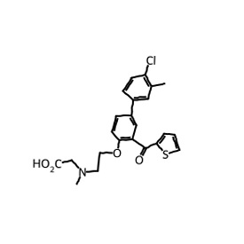 Cc1cc(-c2ccc(OCCN(C)CC(=O)O)c(C(=O)c3cccs3)c2)ccc1Cl